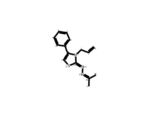 C=CCn1c(-c2ccccc2)cs/c1=N\N=C(C)C